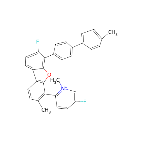 Cc1ccc(-c2ccc(-c3c(F)ccc4c3oc3c(-c5ccc(F)c[n+]5C)c(C)ccc34)cc2)cc1